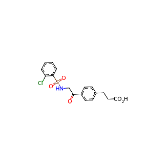 O=C(O)CCc1ccc(C(=O)CNS(=O)(=O)c2ccccc2Cl)cc1